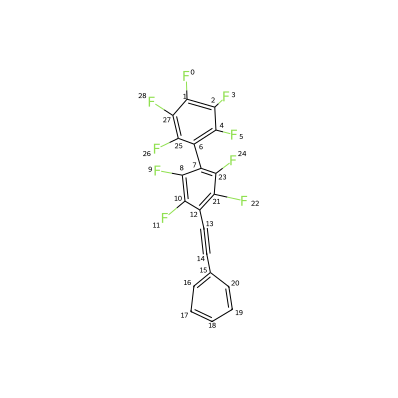 Fc1c(F)c(F)c(-c2c(F)c(F)c(C#Cc3ccccc3)c(F)c2F)c(F)c1F